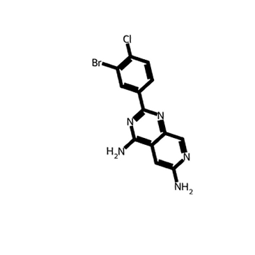 Nc1cc2c(N)nc(-c3ccc(Cl)c(Br)c3)nc2cn1